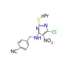 CCCSc1nc(Cl)c([N+](=O)[O-])c(NCc2ccc(C#N)cc2)n1